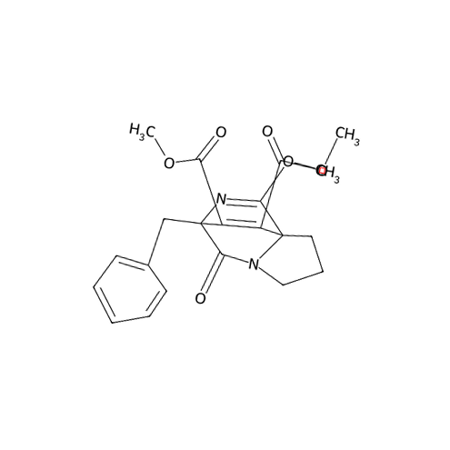 COC(=O)C1=C(C(=O)OC)C23CCCN2C(=O)C1(Cc1ccccc1)N=C3OC